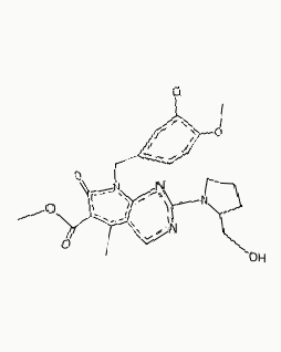 COC(=O)c1c(C)c2cnc(N3CCCC3CO)nc2n(Cc2ccc(OC)c(Cl)c2)c1=O